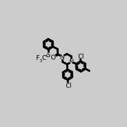 Cc1ccc(N2CCN(C(=O)Cc3ccccc3SC(F)(F)F)CC2c2ccc(Cl)cc2)c(Cl)c1